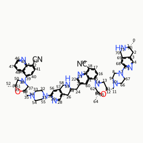 C[C@@H]1Cc2cnc(N3CCN(C[C@H]4CN(c5ccc(C#N)c6ncc(C[C@H]7Cc8cnc(N9CCN(C[C@H]%10CN(c%11ccc(C#N)c%12ncccc%11%12)C[C@@H](C)O%10)CC9)cc8CN7)cc56)C[C@@H](C)O4)CC3)cc2CN1